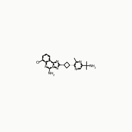 Cc1nc(C(C)(C)N)cnc1[C@H]1C[C@H](c2nc3c4cccc(Cl)c4nc(N)n3n2)C1